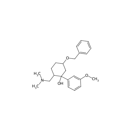 COc1cccc(C2(O)CC(OCc3ccccc3)CCC2CN(C)C)c1